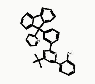 CC(C)(C)c1cc(-c2cccc(C3(c4ccccn4)c4ccccc4-c4ccccc43)c2)nc(-c2ccccc2O)c1